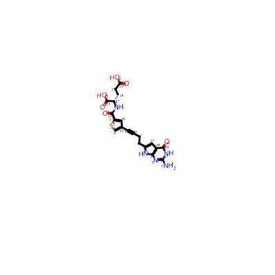 Nc1nc2[nH]c(CCC#Cc3csc(C(=O)N[C@@H](CCC(=O)O)C(=O)O)c3)cc2c(=O)[nH]1